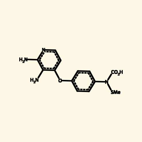 CSN(C(=O)O)c1ccc(Oc2ccnc(N)c2N)cc1